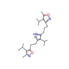 Cc1noc(CCc2n[nH]c(CCCc3noc(C)c3C(C)C)c2C(C)C)c1C(C)C